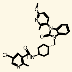 COc1ccc(-n2c(=O)n(C[C@H]3CC[C@H](NC(=O)c4cc(Cl)cnc4C)CC3)c3ccccc32)c(C)n1